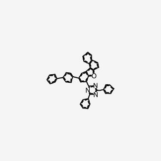 c1ccc(-c2ccc(-c3cc(-c4nc(-c5ccccc5)nc(-c5ccccc5)n4)c4oc5ccc6ccccc6c5c4c3)cc2)cc1